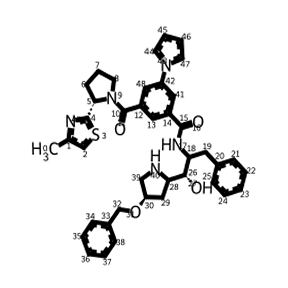 Cc1csc([C@@H]2CCCN2C(=O)c2cc(C(=O)NC(Cc3ccccc3)[C@H](O)C3C[C@@H](OCc4ccccc4)CN3)cc(-n3cccc3)c2)n1